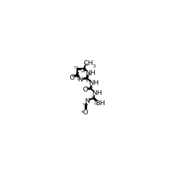 B=C(N=C=O)NC(=O)Nc1nc(=O)cc(C)[nH]1